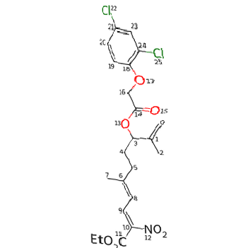 C=C(C)C(CC/C(C)=C/C=C(/C(=O)OCC)[N+](=O)[O-])OC(=O)COc1ccc(Cl)cc1Cl